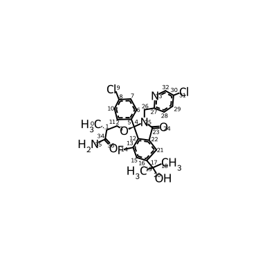 C[C@H](CO[C@]1(c2ccc(Cl)cc2)c2c(F)cc(C(C)(C)O)cc2C(=O)N1Cc1ccc(Cl)cn1)C(N)=O